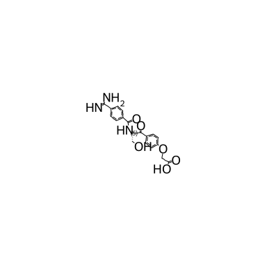 N=C(N)c1ccc(C(=O)N[C@@H](CO)C(=O)c2ccc(OCC(=O)O)cc2)cc1